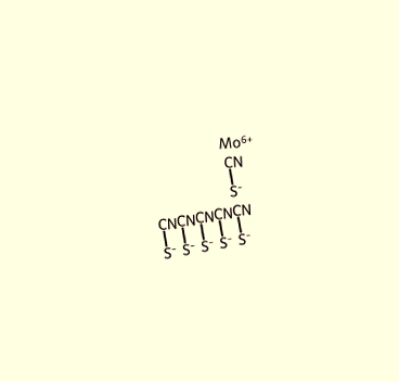 N#C[S-].N#C[S-].N#C[S-].N#C[S-].N#C[S-].N#C[S-].[Mo+6]